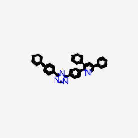 c1ccc(-c2ccc(-c3ncnc(-c4ccc(-c5ncc(-c6ccccc6)cc5-c5ccccc5)cc4)n3)cc2)cc1